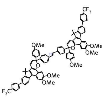 COc1ccc(C2(c3ccc(/C=C/c4ccc(C5(c6ccc(OC)cc6)C=Cc6c7c(c8cc(OC)c(OC)cc8c6O5)-c5ccc(-c6ccc(C(F)(F)F)cc6)cc5C7(C)C)cc4)cc3)C=Cc3c4c(c5cc(OC)c(OC)cc5c3O2)-c2ccc(-c3ccc(C(F)(F)F)cc3)cc2C4(C)C)cc1